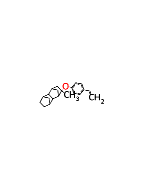 C=Cc1ccc(OC2(C)CC3CC2C2C4CCC(C4)C32)cc1